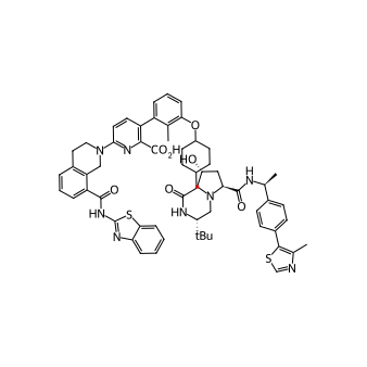 Cc1ncsc1-c1ccc([C@H](C)NC(=O)[C@@H]2C[C@@H](O)CN2C[C@@H](NC(=O)CC2CCC(Oc3cccc(-c4ccc(N5CCc6cccc(C(=O)Nc7nc8ccccc8s7)c6C5)nc4C(=O)O)c3C)CC2)C(C)(C)C)cc1